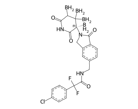 BC1C(=O)NC(=O)[C@](B)(N2Cc3cc(CNC(=O)C(F)(F)c4ccc(Cl)cc4)ccc3C2=O)C1(B)B